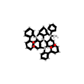 CS1(c2ccccc2)c2cccc3c2B2c4c(cccc4N(c4ccccc4-c4ccccc4)c4cccc1c42)N3c1ccccc1-c1ccccc1